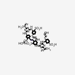 CC(C)N(C)c1nc(Nc2ccc(/C=C/c3ccc(Nc4nc(Nc5cc(SOOO)ccc5S(=O)(=O)O)nc(N(C)C(C)C)n4)cc3SOOO)c(S(=O)(=O)O)c2)nc(Nc2cc(S(=O)(=O)O)ccc2SOOO)n1